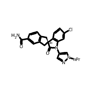 CCCn1cc(N2C(=O)[C@@]3(Cc4ccc(C(N)=O)cc4C3)c3ccc(Cl)cc32)cn1